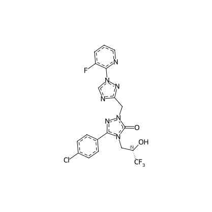 O=c1n(Cc2ncn(-c3ncccc3F)n2)nc(-c2ccc(Cl)cc2)n1C[C@H](O)C(F)(F)F